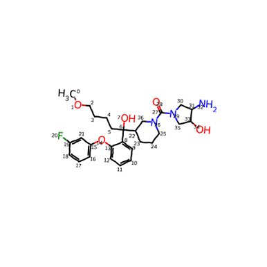 COCCCCC(O)(c1ccccc1Oc1cccc(F)c1)C1CCCN(C(=O)N2CC(N)C(O)C2)C1